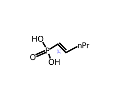 CCC/C=C/P(=O)(O)O